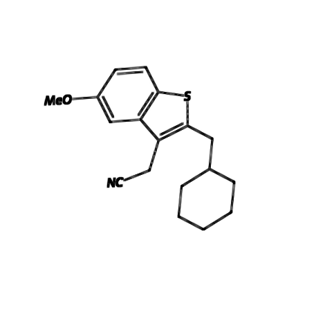 COc1ccc2sc(CC3CCCCC3)c(CC#N)c2c1